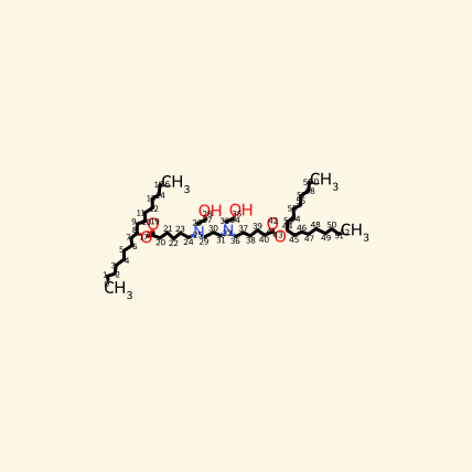 CCCCCCCCC(CCCCCCCC)OC(=O)CCCCCN(CCO)CCCN(CCO)CCCCCC(=O)OC(CCCCCCCC)CCCCCCCC